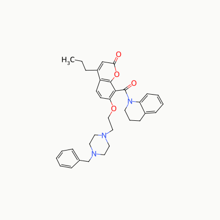 CCCc1cc(=O)oc2c(C(=O)N3CCCc4ccccc43)c(OCCN3CCN(Cc4ccccc4)CC3)ccc12